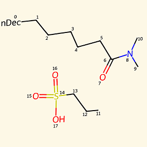 CCCCCCCCCCCCCCCC(=O)N(C)C.CCCS(=O)(=O)O